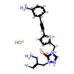 Cl.NC/C(=C\F)Cn1ncn(Cc2ccc(C#Cc3cccc(N)c3)s2)c1=O